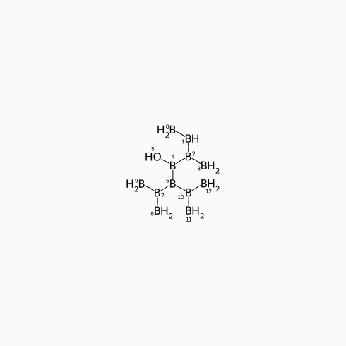 BBB(B)B(O)B(B(B)B)B(B)B